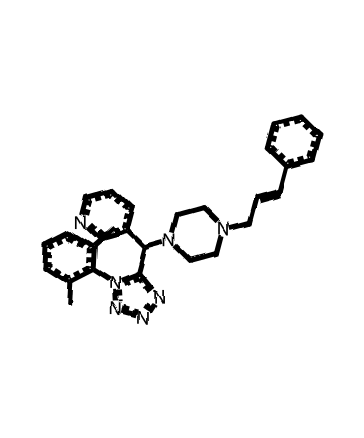 Cc1cccc(C)c1-n1nnnc1C(c1cccnc1)N1CCN(CC=Cc2ccccc2)CC1